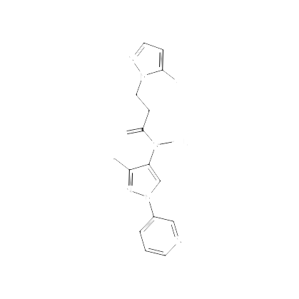 Cc1ccnn1CCC(=O)N(C)c1cn(-c2cccnc2)nc1Cl